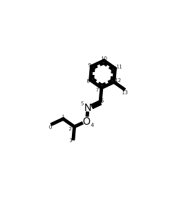 CCC(C)O/N=[C]/c1ccccc1C